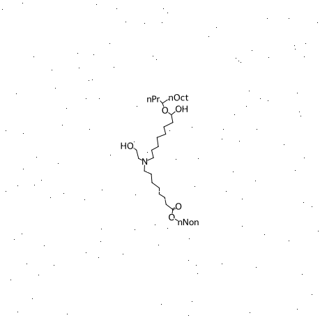 CCCCCCCCCOC(=O)CCCCCCCN(CCO)CCCCCCCC(O)OC(CCC)CCCCCCCC